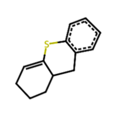 C1=C2Sc3ccccc3CC2CCC1